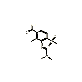 Cc1c(C(=O)O)ccc(S(C)(=O)=O)c1/N=C/N(C)C